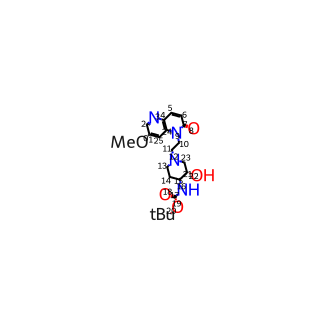 COc1cnc2ccc(=O)n(CCN3CC[C@H](NC(=O)OC(C)(C)C)[C@@H](O)C3)c2c1